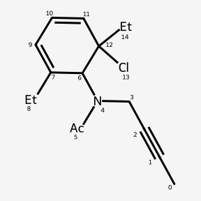 CC#CCN(C(C)=O)C1C(CC)=CC=CC1(Cl)CC